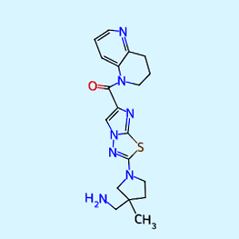 CC1(CN)CCN(c2nn3cc(C(=O)N4CCCc5ncccc54)nc3s2)C1